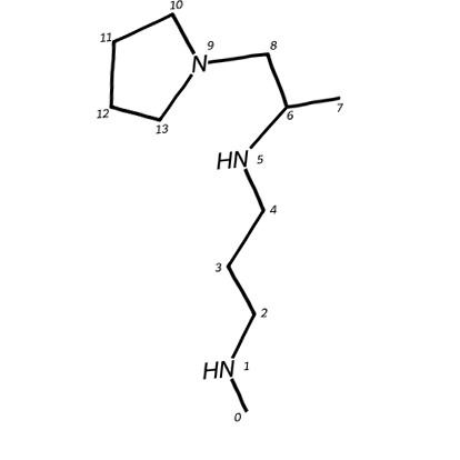 CNCCCNC(C)CN1CCCC1